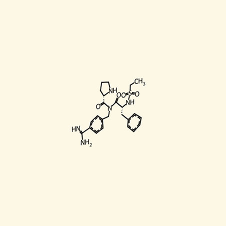 CCS(=O)(=O)N[C@H](Cc1ccccc1)C(=O)N(Cc1ccc(C(=N)N)cc1)C(=O)[C@@H]1CCCN1